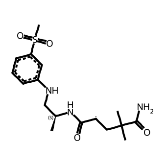 C[C@@H](CNc1cccc(S(C)(=O)=O)c1)NC(=O)[CH]CC(C)(C)C(N)=O